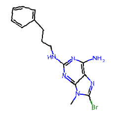 Cn1c(Br)nc2c(N)nc(NCCCc3ccccc3)nc21